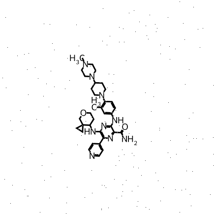 Cc1cc(Nc2nc(NC3CCOCC34CC4)c(-c3ccncc3)nc2C(N)=O)ccc1N1CCC(N2CCN(C)CC2)CC1